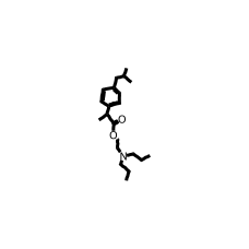 CCCN(CCC)CCOC(=O)C(C)c1ccc(CC(C)C)cc1